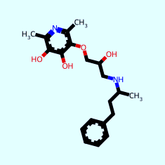 Cc1nc(C)c(OCC(O)CNC(C)CCc2ccccc2)c(O)c1O